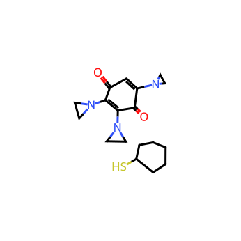 O=C1C=C(N2CC2)C(=O)C(N2CC2)=C1N1CC1.SC1CCCCC1